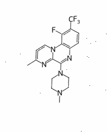 CC1=C=CN2C(=N1)C(N1CCN(C)CC1)=Nc1ccc(C(F)(F)F)c(F)c12